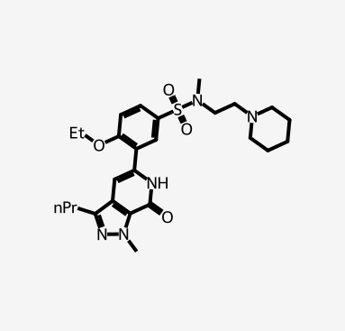 CCCc1nn(C)c2c(=O)[nH]c(-c3cc(S(=O)(=O)N(C)CCN4CCCCC4)ccc3OCC)cc12